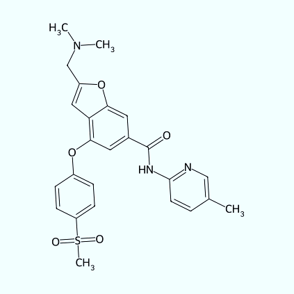 Cc1ccc(NC(=O)c2cc(Oc3ccc(S(C)(=O)=O)cc3)c3cc(CN(C)C)oc3c2)nc1